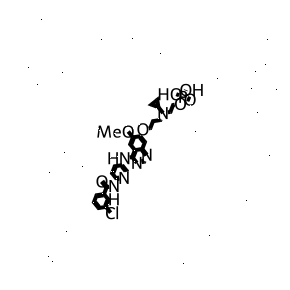 COc1cc2c(Nc3ccc(NC(=O)c4cccc(Cl)c4)nc3)ncnc2cc1OCCCN(CCOP(=O)(O)O)C1CC1